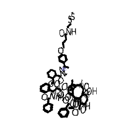 CSSCCNC(=O)CCCOc1ccc(/C(C)=N/N(C)C(=O)C2CCCCC2C(=O)O[C@@H](C(=O)O[C@H]2C[C@]3(O)[C@@H](OC(=O)c4ccccc4)[C@@H]4[C@]5(OC(C)=O)CO[C@@H]5C[C@H](O)[C@@]4(C)C(=O)[C@H](C)C(=C2C)C3(C)C)[C@@H](NC(=O)c2ccccc2)c2ccccc2)cc1